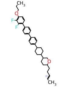 C/C=C/CCC1CCC(C2CCC(c3ccc(-c4ccc(-c5ccc(OCCC)c(F)c5F)cc4)cc3)CC2)CO1